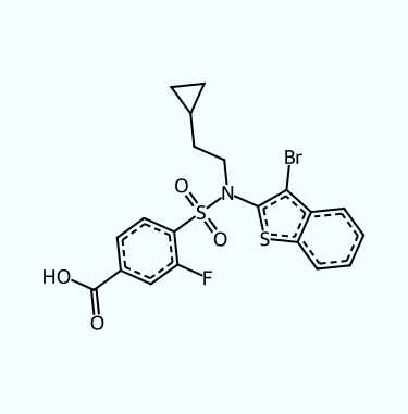 O=C(O)c1ccc(S(=O)(=O)N(CCC2CC2)c2sc3ccccc3c2Br)c(F)c1